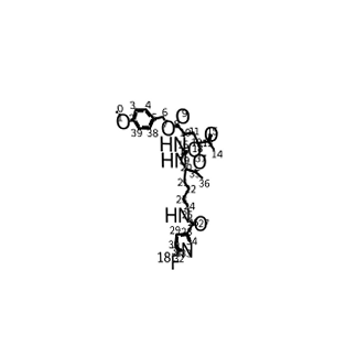 COc1ccc(COC(=O)C(CCC(C)=O)NC(=O)NC(CCCCNC(=O)c2ccc([18F])nc2)C(C)=O)cc1